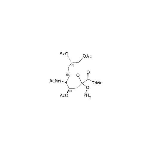 COC(=O)C1(OP)C[C@@H](OC(C)=O)C(NC(C)=O)[C@H](C[C@@H](COC(C)=O)OC(C)=O)O1